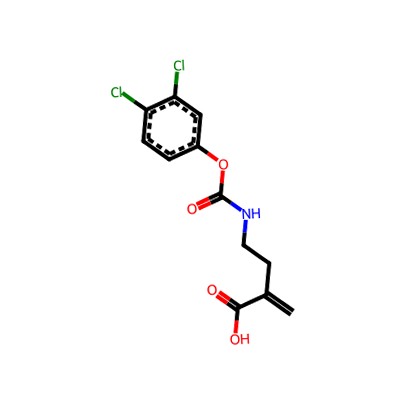 C=C(CCNC(=O)Oc1ccc(Cl)c(Cl)c1)C(=O)O